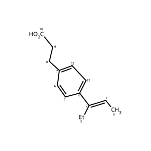 CC=C(CC)c1ccc(CCC(=O)O)cc1